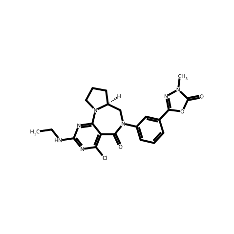 CCNc1nc(Cl)c2c(n1)N1CCC[C@H]1CN(c1cccc(-c3nn(C)c(=O)o3)c1)C2=O